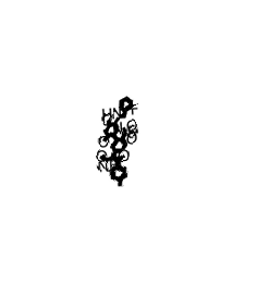 CNC(=O)c1c(-c2ccc(C)cc2)oc2cc(N(C)S(C)(=O)=O)c(-c3nc(-c4cc5c(F)cccc5[nH]4)c(OC)cc3OC)cc12